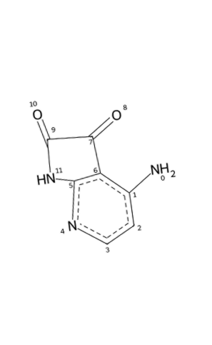 Nc1ccnc2c1C(=O)C(=O)N2